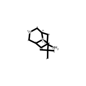 CC(C)(C)CN1C2COCC1CC(N)C2